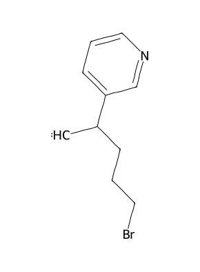 [CH]C(CCCBr)c1cccnc1